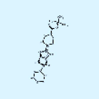 CC(C)(C)OC(=O)N1CCC(c2nc3cn(C4CCCCO4)nc3s2)CC1